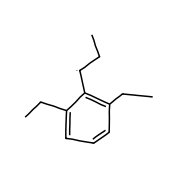 CC[CH]c1c(CC)cccc1CC